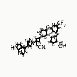 N#CCC1(n2cc(-c3ncnc4[nH]ccc34)cn2)CC(N2CCC(Oc3cc(CN4CCC[C@H]4CO)cc(C(F)(F)F)n3)CC2)C1